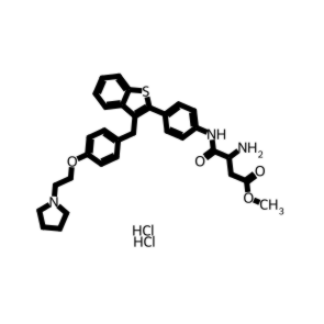 COC(=O)CC(N)C(=O)Nc1ccc(-c2sc3ccccc3c2Cc2ccc(OCCN3CCCC3)cc2)cc1.Cl.Cl